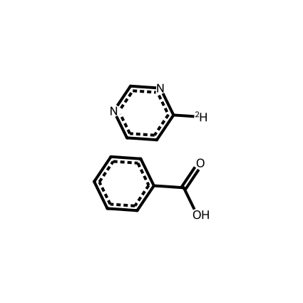 O=C(O)c1ccccc1.[2H]c1ccncn1